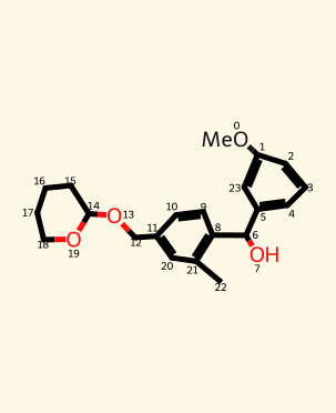 COc1cccc(C(O)c2ccc(COC3CCCCO3)cc2C)c1